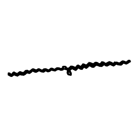 CCC=CCC=CCC=CCC=CCC=CCCCC(=O)OCCCCCC=CCC=CCC=CCCCCC